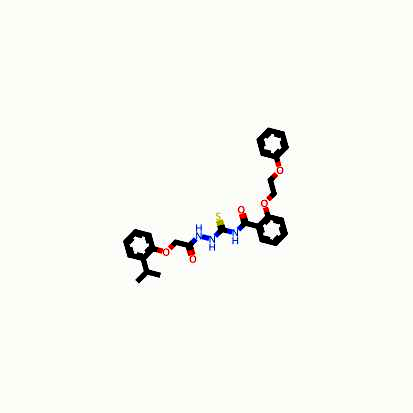 CC(C)c1ccccc1OCC(=O)NNC(=S)NC(=O)c1ccccc1OCCOc1ccccc1